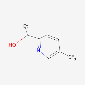 CCC(O)c1ccc(C(F)(F)F)cn1